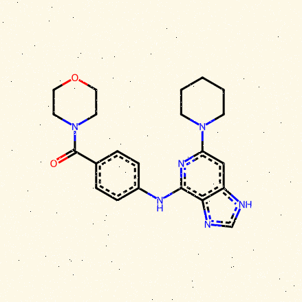 O=C(c1ccc(Nc2nc(N3CCCCC3)cc3[nH]cnc23)cc1)N1CCOCC1